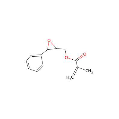 C=C(C)C(=O)OCC1OC1c1ccccc1